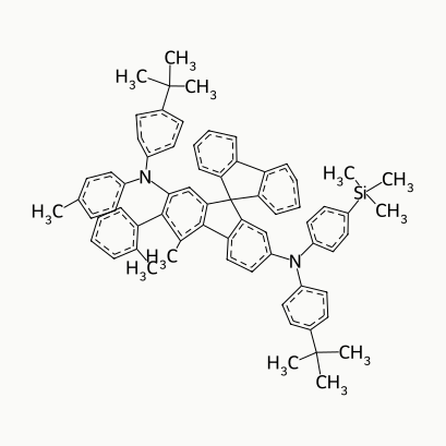 Cc1ccc(N(c2ccc(C(C)(C)C)cc2)c2cc3c(c(C)c2-c2ccccc2C)-c2ccc(N(c4ccc(C(C)(C)C)cc4)c4ccc([Si](C)(C)C)cc4)cc2C32c3ccccc3-c3ccccc32)cc1